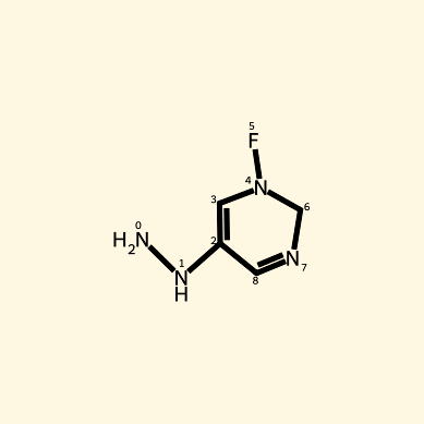 NNC1=CN(F)CN=C1